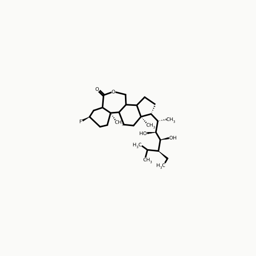 CC[C@@H](C(C)C)[C@H](O)[C@@H](O)[C@@H](C)[C@H]1CCC2C3COC(=O)C4C[C@H](F)CC[C@]4(C)C3CC[C@@]21C